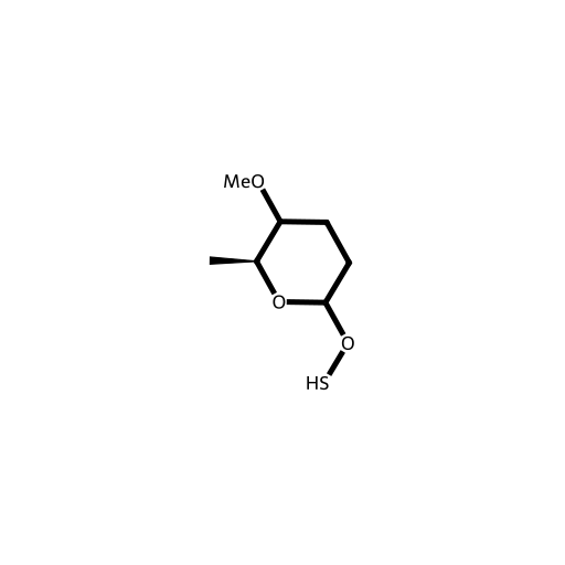 COC1CCC(OS)O[C@H]1C